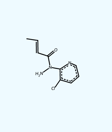 CC=CC(=O)N(N)c1ncccc1Cl